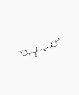 CCN1CCN(CCOCCNC(=O)COC2CCN(C)CC2)CC1